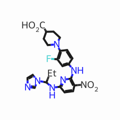 CCC(Nc1ccc([N+](=O)[O-])c(Nc2ccc(N3CCC(C(=O)O)CC3)c(F)c2)n1)n1ccnc1